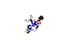 CC(C)=CCn1c(N2CCCC(N)(N3CCSC3)C2)nc2c1c(=O)n(CC(=O)c1ccccc1)c(=O)n2C=C=O